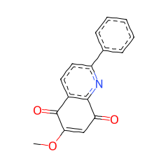 COC1=CC(=O)c2nc(-c3ccccc3)ccc2C1=O